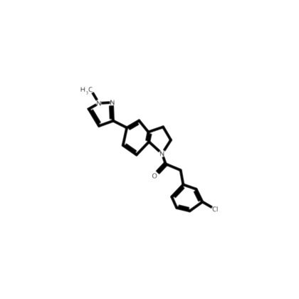 Cn1ccc(-c2ccc3c(c2)CCN3C(=O)Cc2cccc(Cl)c2)n1